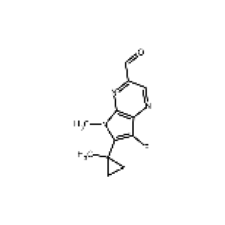 Cn1c(C2(C)CC2)c(F)c2ncc(C=O)nc21